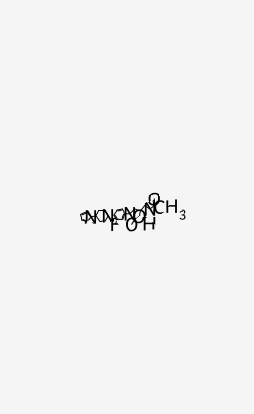 CC(=O)NCC1CN(c2ccc(N3CCC(n4cccc4)CC3)c(F)c2)C(=O)O1